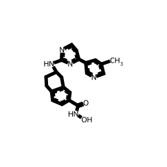 Cc1cncc(-c2ccnc(NC3CCc4ccc(C(=O)NO)cc4C3)n2)c1